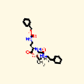 CC(C)C[C@H](N[C@H](CCNC(=O)OCc1ccccc1)C(=O)O)C(=O)NCCc1ccccc1